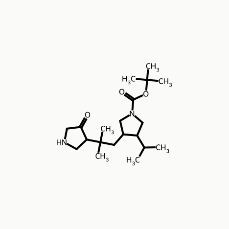 CC(C)C1CN(C(=O)OC(C)(C)C)CC1CC(C)(C)C1CNCC1=O